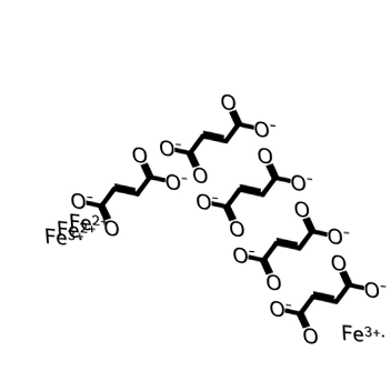 O=C([O-])/C=C/C(=O)[O-].O=C([O-])/C=C/C(=O)[O-].O=C([O-])/C=C/C(=O)[O-].O=C([O-])/C=C/C(=O)[O-].O=C([O-])/C=C/C(=O)[O-].[Fe+2].[Fe+2].[Fe+3].[Fe+3]